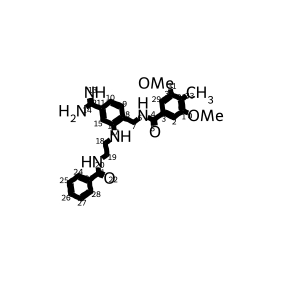 COc1cc(C(=O)NCc2ccc(C(=N)N)cc2NCCNC(=O)c2ccccc2)cc(OC)c1C